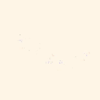 CCCN(CCC)S(=O)(=O)c1ccc(CCC(=O)Nc2nc(C3=CC=C4O[NH+]([O-])CC=C4C3)cs2)cc1